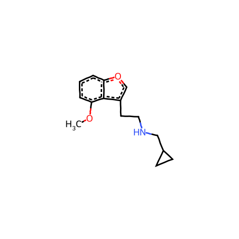 COc1cccc2occ(CCNCC3CC3)c12